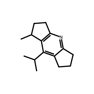 CC(C)c1c2c(nc3c1C(C)CC3)CCC2